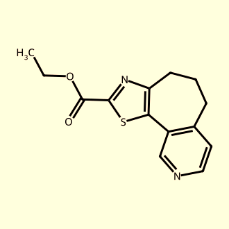 CCOC(=O)c1nc2c(s1)-c1cnccc1CCC2